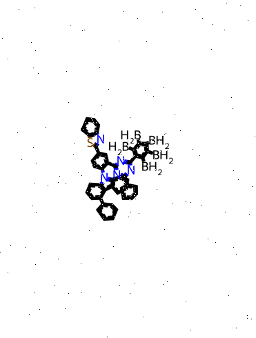 Bc1c(B)c(B)c(-c2nc(-c3ccccc3)nc(-c3cc(-c4nc5ccccc5s4)ccc3-n3c4ccccc4c4c(-c5ccccc5)cccc43)n2)c(B)c1B